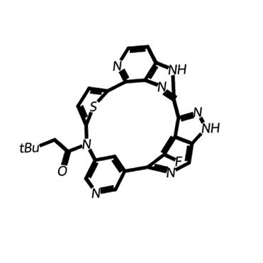 CC(C)(C)CC(=O)n1c2cncc(c2)c2ncc3[nH]nc(c4nc5c(ccnc5c5ccc1s5)[nH]4)c3c2F